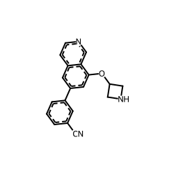 N#Cc1cccc(-c2cc(OC3CNC3)c3cnccc3c2)c1